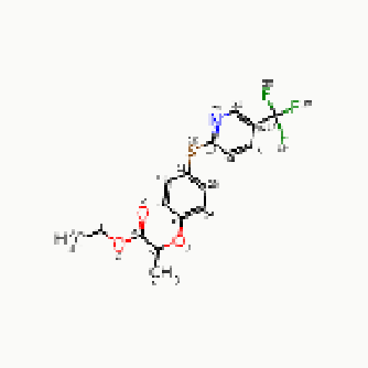 CCOC(=O)C(C)Oc1ccc(Sc2ccc(C(F)(F)F)cn2)cc1